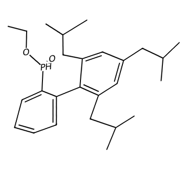 CCO[PH](=O)c1ccccc1-c1c(CC(C)C)cc(CC(C)C)cc1CC(C)C